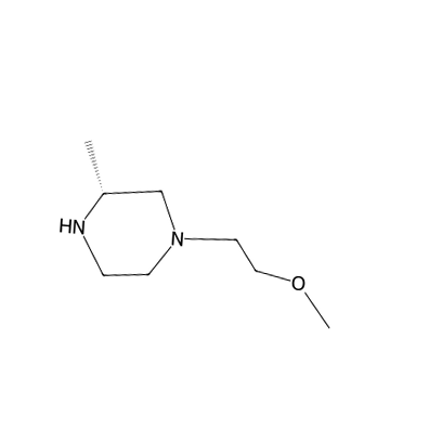 COCCN1CCN[C@H](C)C1